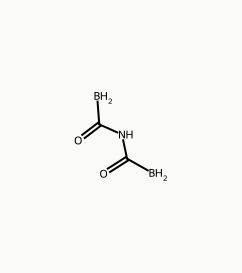 BC(=O)NC(B)=O